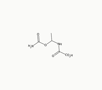 CC(NC(=O)C(=O)O)OC(N)=O